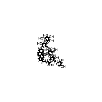 C[C@H](CC[C@@H](O[C@@H]1O[C@H](CO[C@H]2OC[C@@H](O)C[C@H]2O)[C@@H](O)[C@H](O)[C@H]1O[C@H]1O[C@@H](CO)[C@H](O)[C@@H](O)[C@@H]1O)C(C)(C)O)C1CC[C@@]2(C)C3CC=C4C(CC[C@H](O[C@@H]5O[C@H](CO)[C@@H](O[C@H]6O[C@H](CO)[C@@H](O)[C@H](O)[C@H]6O)[C@H](O)[C@H]5O)C4(C)C)[C@]3(C)[C@H](O)C[C@]12C